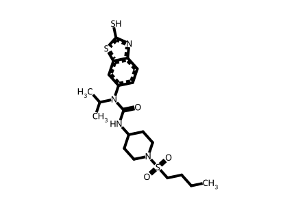 CCCCS(=O)(=O)N1CCC(NC(=O)N(c2ccc3nc(S)sc3c2)C(C)C)CC1